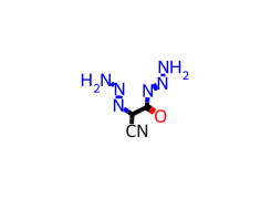 N#CC(N=NN)C(=O)N=NN